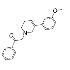 COc1cccc(C2=CCCN(CC(=O)c3ccccc3)C2)c1